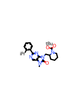 CC(C)c1ccccc1-c1ncc2c(n1)n(CC1CCCCN1C(=O)OC(C)(C)C)c(=O)n2C